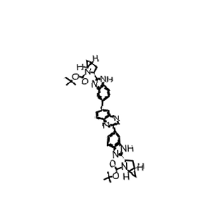 CC(C)(C)OC(=O)N1[C@@H]2C[C@@H]2C[C@H]1c1nc2cc(-c3ccc4nc(-c5ccc6nc([C@@H]7C[C@H]8C[C@H]8N7C(=O)OC(C)(C)C)[nH]c6c5)cnc4c3)ccc2[nH]1